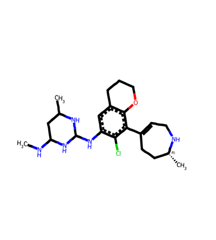 CNC1CC(C)NC(Nc2cc3c(c(C4=CCN[C@H](C)CC4)c2Cl)OCCC3)N1